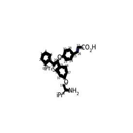 CC(C)c1ccccc1-c1sc2cc(OC[C@@H](N)C(C)C)ccc2c1Oc1ccc(/C=C/C(=O)O)cc1